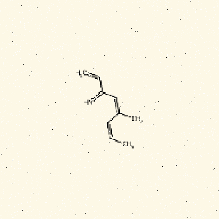 C=CC(=N)/C=C(C)\C=C/C